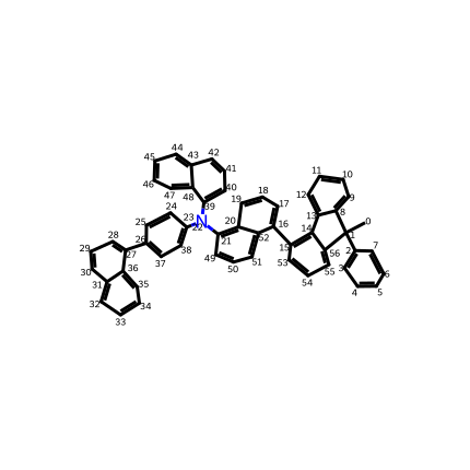 CC1(c2ccccc2)c2ccccc2-c2c(-c3cccc4c(N(c5ccc(-c6cccc7ccccc67)cc5)c5cccc6ccccc56)cccc34)cccc21